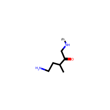 CC(C)NCC(=O)C(C)CCN